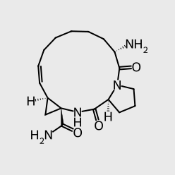 NC(=O)[C@@]12C[C@H]1/C=C\CCCCC[C@H](N)C(=O)N1CCC[C@H]1C(=O)N2